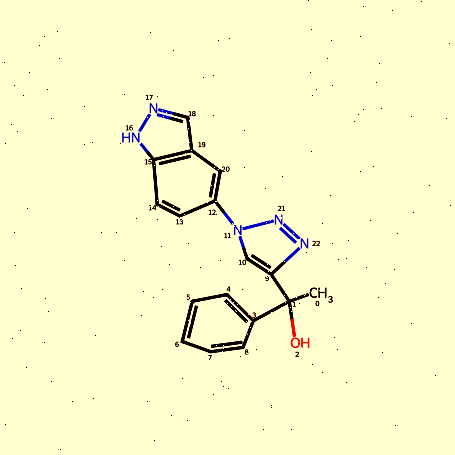 CC(O)(c1ccccc1)c1cn(-c2ccc3[nH]ncc3c2)nn1